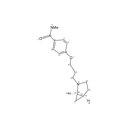 CNC(=O)c1ccc(OCCCN2CC[C@H]3C[C@H]32)cc1